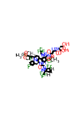 CC(C)(C#Cc1ccc(-c2ccc(Cl)c3c(N(C(=O)/C=C/C(=O)N[C@@H](CC(=O)O)C(=O)O)S(C)(=O)=O)nn(CC(F)(F)F)c23)c([C@H](Cc2cc(F)cc(F)c2)NC(=O)Cn2nc(C(F)(F)F)c3c2C(F)(F)[C@@H]2C[C@H]32)n1)S(C)(=O)=O